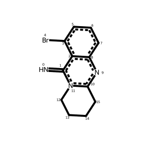 N=c1c2c(Br)cccc2nc2n1CCCC2